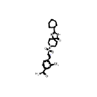 NC(=O)c1ccc(/C=C/S(=O)(=O)N2CCC3(CC2)N=C(C2CCCCC2)NC3=O)c(C(F)(F)F)c1